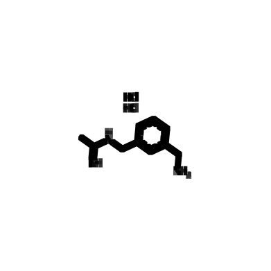 CC(=N)NCc1cccc(CN)c1.Cl.Cl